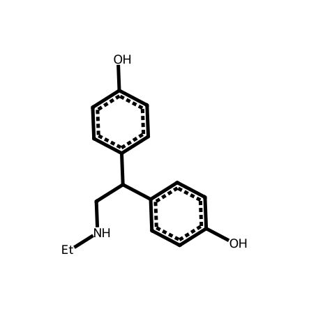 CCNCC(c1ccc(O)cc1)c1ccc(O)cc1